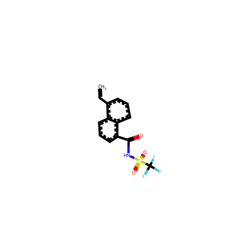 C=Cc1cccc2c(C(=O)NS(=O)(=O)C(F)(F)F)cccc12